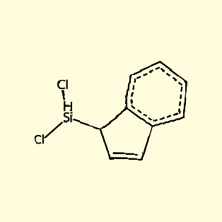 Cl[SiH](Cl)C1C=Cc2ccccc21